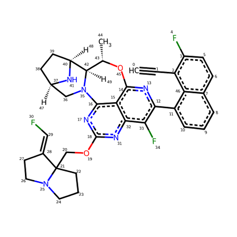 C#Cc1c(F)ccc2cccc(-c3nc4c5c(nc(OCC67CCCN6CCC7=CF)nc5c3F)N3C[C@H]5CC[C@H](N5)[C@H]3[C@H](C)O4)c12